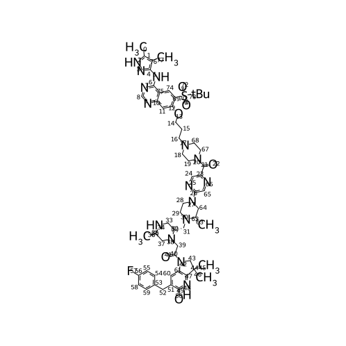 Cc1[nH]nc(Nc2ncnc3cc(OCCCN4CCN(C(=O)c5cnc(N6CCN(C[C@H]7CN[C@H](C)CN7CC(=O)N7CC(C)(C)c8[nH]c(=O)c(Cc9ccc(F)cc9)cc87)C(C)C6)cn5)CC4)c(S(=O)(=O)C(C)(C)C)cc23)c1C